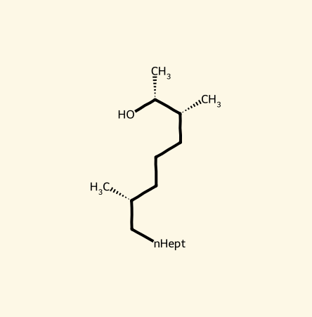 CCCCCCCC[C@H](C)CCC[C@@H](C)[C@@H](C)O